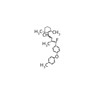 CC1=C(/C=C/C(C)=C(\F)c2ccc(Oc3ccc(C)cc3)cc2)C(C)(C)CCC1